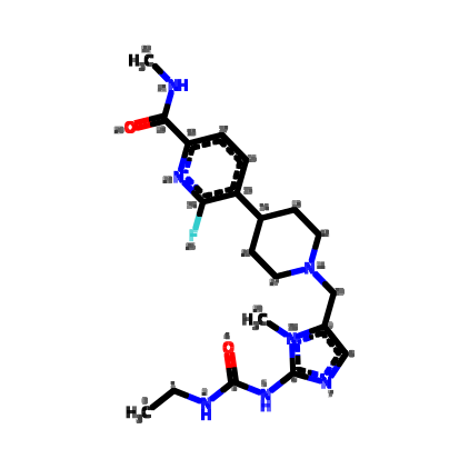 CCNC(=O)Nc1ncc(CN2CCC(c3ccc(C(=O)NC)nc3F)CC2)n1C